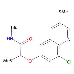 CSc1cnc2c(Cl)cc(OC(SC)C(=O)NC(C)(C)C)cc2c1